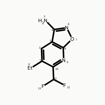 CCc1cc2c(N)noc2nc1C(F)F